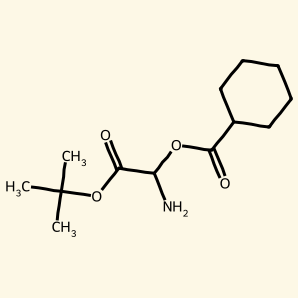 CC(C)(C)OC(=O)C(N)OC(=O)C1CCCCC1